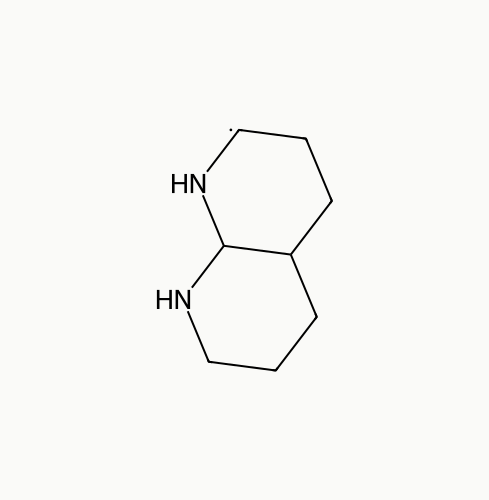 [CH]1CCC2CCCNC2N1